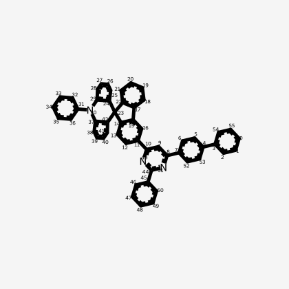 c1ccc(-c2ccc(-c3cc(-c4ccc5c(c4)-c4ccccc4C54c5ccccc5N(c5ccccc5)c5ccccc54)nc(-c4ccccc4)n3)cc2)cc1